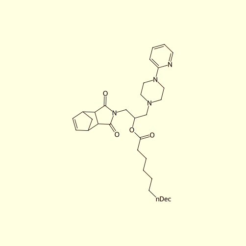 CCCCCCCCCCCCCCCC(=O)OC(CN1CCN(c2ccccn2)CC1)CN1C(=O)C2C3C=CC(C3)C2C1=O